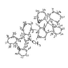 Cn1c2c(-c3ccc4c(c3)C(c3ccccc3)(c3ccccc3)c3ccccc3-4)cccc2c2c3ccccc3c3ccccc3c21